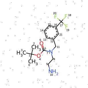 CC(C)(C)OC(=O)N(CCN)Cc1cccc(C(F)(F)F)c1